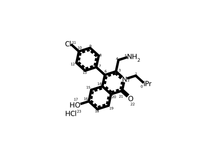 CC(C)Cn1c(CN)c(-c2ccc(Cl)cc2)c2cc(O)ccc2c1=O.Cl